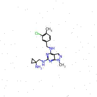 Cc1ccc(CNc2nc(NCC3(N)CC3)nc3c2cnn3C)cc1Cl